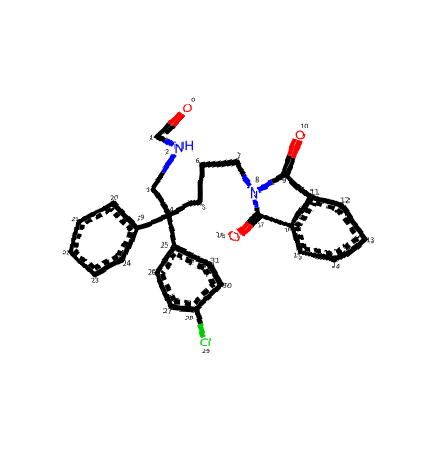 O=CNCC(CCCN1C(=O)c2ccccc2C1=O)(c1ccccc1)c1ccc(Cl)cc1